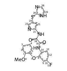 COc1ccccc1Oc1cc(F)ccc1NC(=O)C(=O)Nc1ncc(Sc2ncc[nH]2)s1